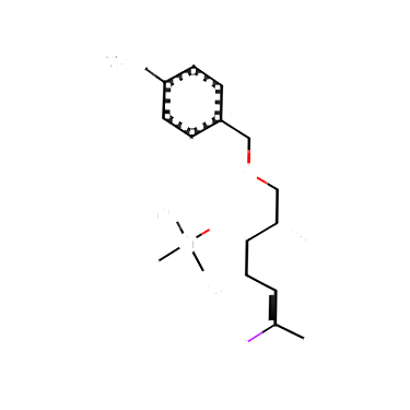 COc1ccc(COC[C@H](C)[C@@H](O[Si](C)(C)C(C)(C)C)[C@@H](C)/C=C(/C)I)cc1